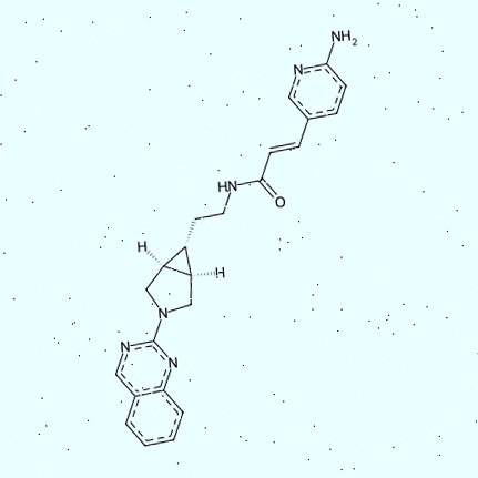 Nc1ccc(/C=C/C(=O)NCC[C@@H]2[C@H]3CN(c4ncc5ccccc5n4)C[C@@H]23)cn1